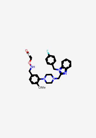 COc1ccc(CNOC=C=O)cc1N1CCN(Cc2nc3ccccc3n2Cc2ccc(F)cc2)CC1